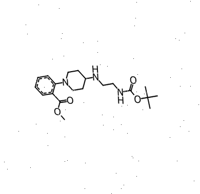 COC(=O)c1ccccc1N1CCC(NCCNC(=O)OC(C)(C)C)CC1